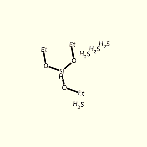 CCO[SiH](OCC)OCC.S.S.S.S